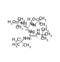 CC(C)(C)N=N[C](=CNC(C)(C)C)[Mg][C](=CNC(C)(C)C)N=NC(C)(C)C